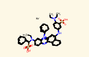 CCN(CC)c1ccc(Nc2cc3c(nc4ccc(N(CC)C(c5ccccc5)S(=O)(=O)O)cc4[n+]3-c3ccccc3)c3ccccc23)cc1S(=O)(=O)O.[Na+]